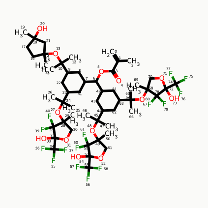 C=C(C)C(=O)OC(C1CC(C(C)(C)OC2(C)CCC(C)(O)C2)CC(C(C)(C)OC2(C)COC(O)(C(F)(F)F)C2(F)F)C1)C1CC(C(C)(C)OC2(C)COC(O)(C(F)(F)F)C2(F)F)CC(C(C)(C)OC2(C)COC(O)(C(F)(F)F)C2(F)F)C1